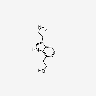 NCCc1c[nH]c2c(CCO)cccc12